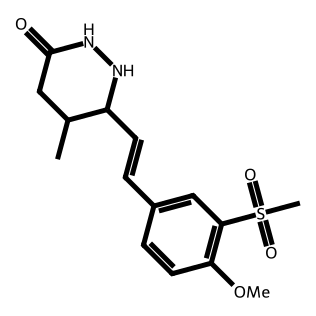 COc1ccc(/C=C/C2NNC(=O)CC2C)cc1S(C)(=O)=O